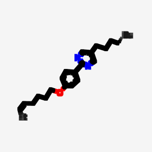 CC/C=C\CCCCOc1ccc(-c2ncc(CCCC[C@@H](C)CC)cn2)cc1